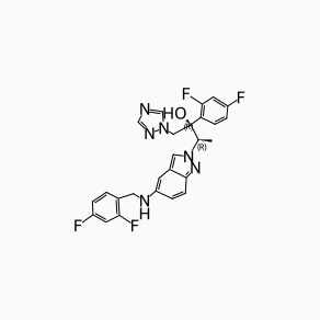 C[C@@H](n1cc2cc(NCc3ccc(F)cc3F)ccc2n1)[C@](O)(Cn1cncn1)c1ccc(F)cc1F